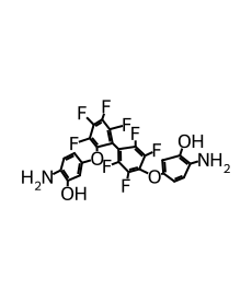 Nc1ccc(Oc2c(F)c(F)c(-c3c(F)c(F)c(F)c(F)c3Oc3ccc(N)c(O)c3)c(F)c2F)cc1O